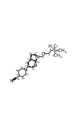 CS(C)(C)CCOCn1ccc2cc(N3CCC(C#N)CC3)cnc21